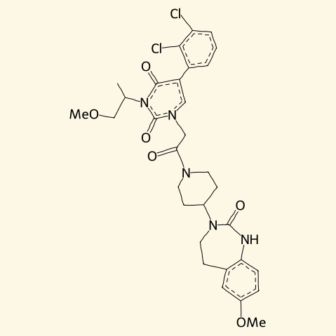 COCC(C)n1c(=O)c(-c2cccc(Cl)c2Cl)cn(CC(=O)N2CCC(N3CCc4cc(OC)ccc4NC3=O)CC2)c1=O